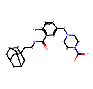 O=C(NCCC12CC3CC(CC(C3)C1)C2)c1cc(CN2CCN(C(=O)O)CC2)ccc1Cl